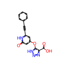 O=C(O)c1nn[nH]c1Oc1cc(C#Cc2ccccc2)[nH]c(=O)c1